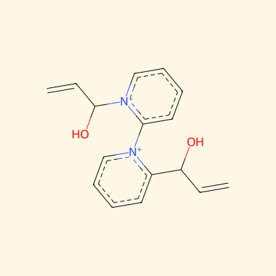 C=CC(O)c1cccc[n+]1-c1cccc[n+]1C(O)C=C